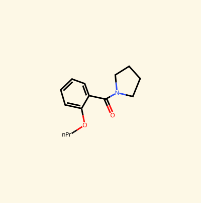 CCCOc1ccccc1C(=O)N1CCCC1